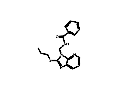 CCCSc1nc2cccnc2n1CNC(=O)c1ccccc1